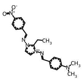 CCc1n(/N=C/c2ccc([N+](=O)[O-])cc2)cc[n+]1/N=C/c1ccc(N(C)C)cc1